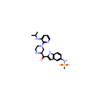 CC(C)Nc1cccnc1N1CCNC(C(=O)c2cc3cc(NS(C)(=O)=O)ccc3[nH]2)C1